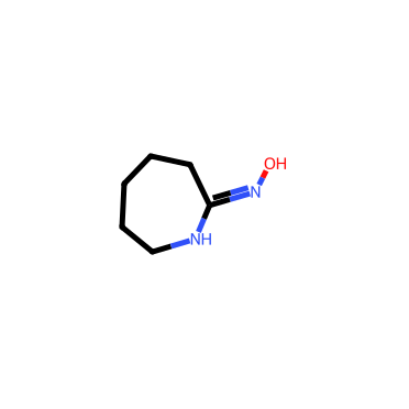 O/N=C1\CCCCCN1